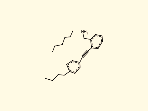 CCCCCC.CCCCc1ccc(C#Cc2ccccc2CN)cc1